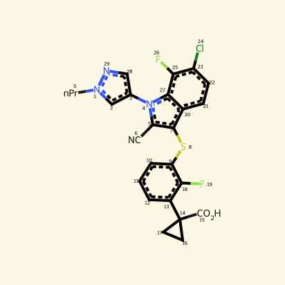 CCCn1cc(-n2c(C#N)c(Sc3cccc(C4(C(=O)O)CC4)c3F)c3ccc(Cl)c(F)c32)cn1